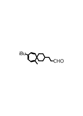 CCC(C)C1=CC=C(C)C2(C=C1)CCC(CCC=O)CC2